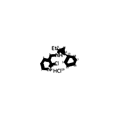 CC[C@@]1(NCc2cccnc2Cl)C[C@H]1c1ccccc1.Cl